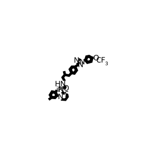 Cc1ccc(C(C)C)c(N2CCCS/C2=N\C(=O)NCCC(C)Cc2ccc(-c3ncn(-c4ccc(OC(F)(F)F)cc4)n3)cc2)c1